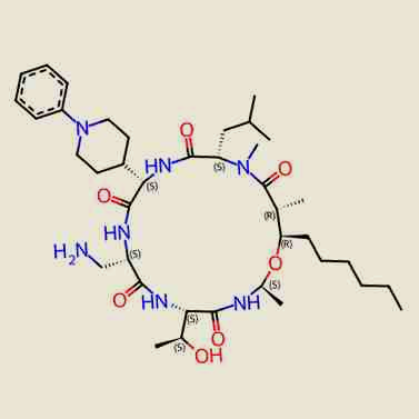 CCCCCC[C@H]1O[C@@H](C)NC(=O)[C@H]([C@H](C)O)NC(=O)[C@H](CN)NC(=O)[C@H](C2CCN(c3ccccc3)CC2)NC(=O)[C@H](CC(C)C)N(C)C(=O)[C@@H]1C